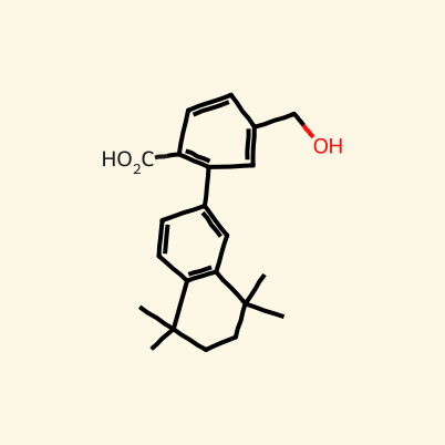 CC1(C)CCC(C)(C)c2cc(-c3cc(CO)ccc3C(=O)O)ccc21